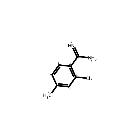 Cc1ccc(C(=N)N)c(Cl)c1